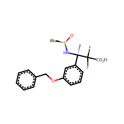 CCOC(=O)C(F)(F)[C@](C)(N[S@+]([O-])C(C)(C)C)c1cccc(OCc2ccccc2)c1